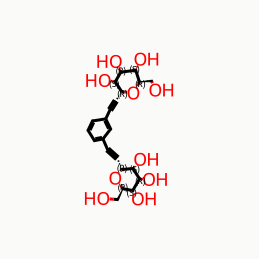 OC[C@H]1O[C@H](C#Cc2cccc(C#C[C@H]3O[C@H](CO)[C@@H](O)[C@H](O)[C@@H]3O)c2)[C@@H](O)[C@@H](O)[C@@H]1O